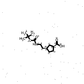 CC(C)(C)OC(=O)NCC[C@@H]1CC[C@H](C(=O)O)C1